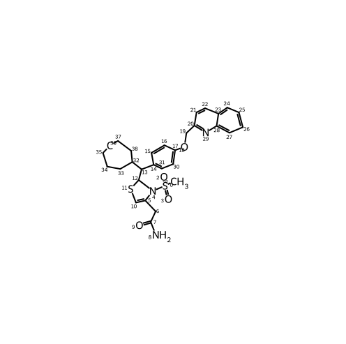 CS(=O)(=O)N1C(CC(N)=O)=CSC1C(c1ccc(OCc2ccc3ccccc3n2)cc1)C1CCCCCC1